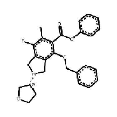 Cc1c(F)c2c(c(OCc3ccccc3)c1C(=O)Oc1ccccc1)CN([C@@H]1CCOC1)C2